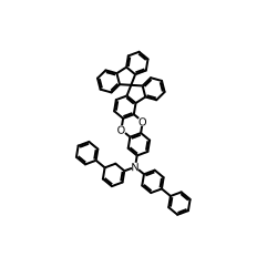 C1=CC(c2ccccc2)CC(N(c2ccc(-c3ccccc3)cc2)c2ccc3c(c2)Oc2ccc4c(c2O3)-c2ccccc2C42c3ccccc3-c3ccccc32)=C1